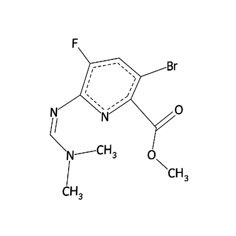 COC(=O)c1nc(/N=C\N(C)C)c(F)cc1Br